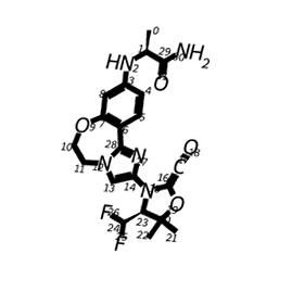 C[C@H](Nc1ccc2c(c1)OCCn1cc(N3C(=C=O)OC(C)(C)[C@H]3C(F)F)nc1-2)C(N)=O